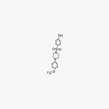 O=S(=O)(c1ccc(O)cc1)N1CCN(c2ccc(OC(F)(F)F)cc2)CC1